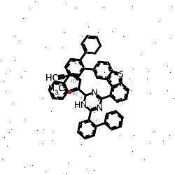 C#C/C=C\C(=C/C)C1N=C(c2cccc3sc4ccc(-c5cc(-c6ccccc6)ccc5C5=CC=CCC5)cc4c23)N=C(c2ccccc2-c2ccccc2)N1